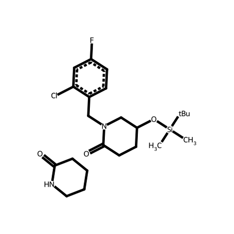 CC(C)(C)[Si](C)(C)OC1CCC(=O)N(Cc2ccc(F)cc2Cl)C1.O=C1CCCCN1